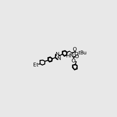 CCC1CCC(c2ccc(-c3cnc(-c4ccc(C[C@H](NC(=O)OCc5ccccc5)C(=O)OC(C)(C)C)cc4)nc3)cc2)CC1